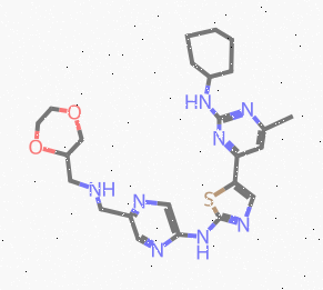 Cc1cc(-c2cnc(Nc3cnc(CNCC4COCCO4)cn3)s2)nc(NC2CCCCC2)n1